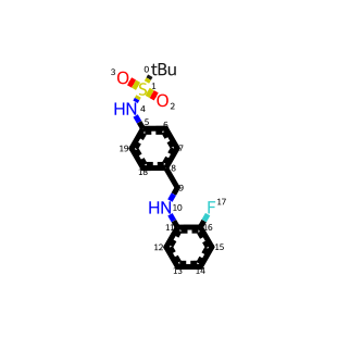 CC(C)(C)S(=O)(=O)Nc1ccc(CNc2ccccc2F)cc1